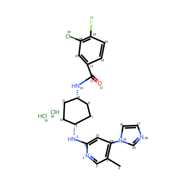 Cc1cnc(N[C@H]2CC[C@@H](NC(=O)c3ccc(F)c(Cl)c3)CC2)cc1-n1ccnc1.Cl.Cl